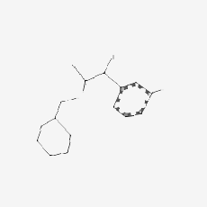 CC(C)C(c1cccc(Cl)c1)C(C)OCC1CCCCC1